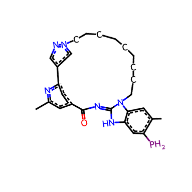 Cc1cc2cc(n1)-c1cnn(c1)CCCCCCCCCN1/C(=N/C2=O)Nc2cc(P)c(C)cc21